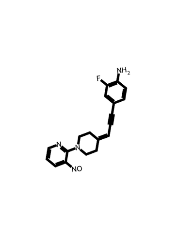 Nc1ccc(C#CC=C2CCN(c3ncccc3N=O)CC2)cc1F